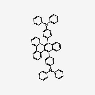 c1ccc(N(c2ccccc2)c2ccc(-c3c4ccccc4c(-c4ccc(N(c5ccccc5)c5ccccc5)cc4)c4c5ccccc5c5ccccc5c34)cc2)cc1